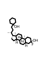 C[C@H](CCC1(O)CCCCC1)[C@H]1CC[C@H]2[C@@H]3CC[C@H]4C[C@](O)(F)CC[C@]4(C)[C@H]3CC[C@]12C